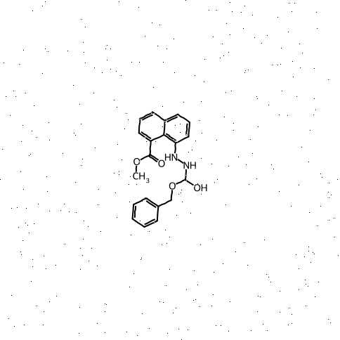 COC(=O)c1cccc2cccc(NNC(O)OCc3ccccc3)c12